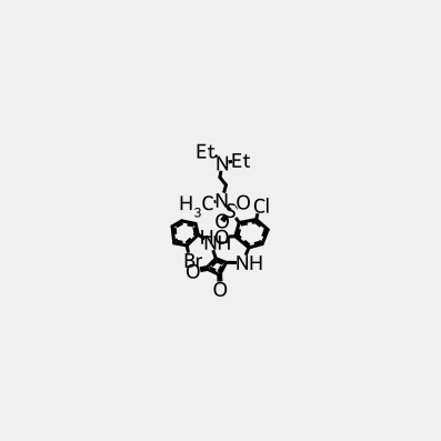 CCN(CC)CCN(C)S(=O)(=O)c1c(Cl)ccc(Nc2c(Nc3ccccc3Br)c(=O)c2=O)c1O